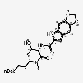 CCCCCCCCCCCCCN(C)C(=O)[C@@H](NC(=O)c1cc2cc3c(cc2[nH]1)OCO3)[C@@H](C)O